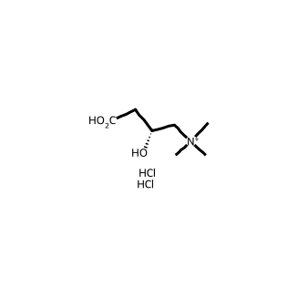 C[N+](C)(C)C[C@H](O)CC(=O)O.Cl.Cl